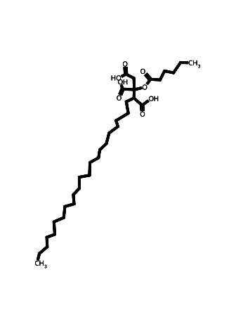 CCCCCCCCCCCCCCCCCCCCCCC(C(=O)O)C(CC(=O)O)(OC(=O)CCCCC)C(=O)O